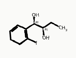 CC[C@@H](O)[C@H](O)C1=C(I)CCC=C1